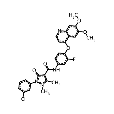 COc1cc2nccc(Oc3ccc(NC(=O)c4c(C)n(C)n(-c5cccc(Cl)c5)c4=O)cc3F)c2cc1OC